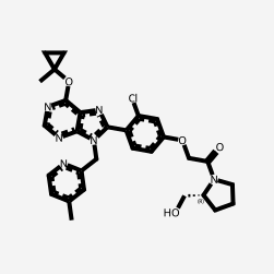 Cc1ccnc(Cn2c(-c3ccc(OCC(=O)N4CCC[C@@H]4CO)cc3Cl)nc3c(OC4(C)CC4)ncnc32)c1